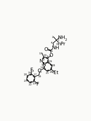 CCCC(C)(N)CNC(=O)Oc1c(C)nn2c(OCc3c(F)cccc3F)cc(CC)cc12